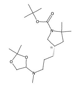 CN(CCC[C@@H]1CN(C(=O)OC(C)(C)C)C(C)(C)C1)C1COC(C)(C)O1